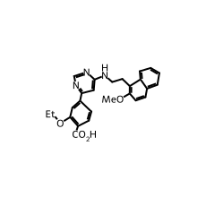 CCOc1cc(-c2cc(NCCc3c(OC)ccc4ccccc34)ncn2)ccc1C(=O)O